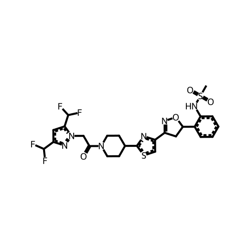 CS(=O)(=O)Nc1ccccc1C1CC(c2csc(C3CCN(C(=O)Cn4nc(C(F)F)cc4C(F)F)CC3)n2)=NO1